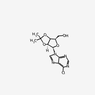 CC1(C)OC2[C@@H](CO)O[C@@H](n3cnc4c(Cl)ncnc43)[C@H]2O1